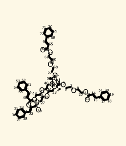 C=P(N=P(C)(OCCOCCOC(=O)/C=C/c1ccccc1)OCCOCCOC(=O)/C=C/c1ccccc1)(OCCOCCOC(=O)/C=C/c1ccccc1)OCCOCCOC(=O)/C=C/c1ccccc1